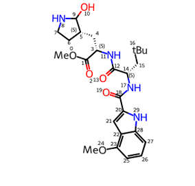 COC(=O)[C@H](C[C@@H]1CCNC1O)NC(=O)[C@H](CC(C)(C)C)NC(=O)c1cc2c(OC)cccc2[nH]1